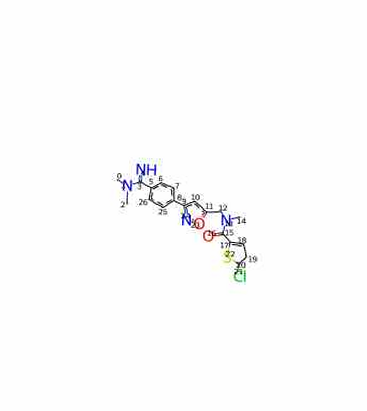 CN(C)C(=N)c1ccc(-c2cc(CN(C)C(=O)C3=CCC(Cl)S3)on2)cc1